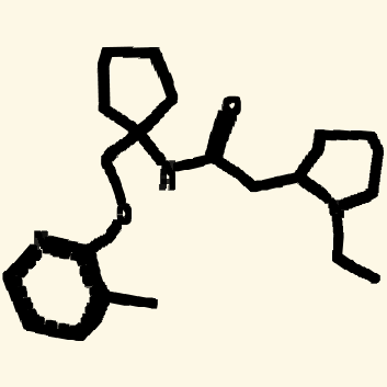 CCN1CCCC1CC(=O)NC1(COc2ncccc2C)CCCC1